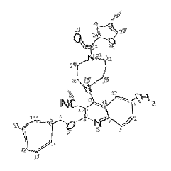 Cc1ccc2nc(OCc3ccccc3)c(C#N)c(N3CCN(C(=O)c4ccco4)CC3)c2c1